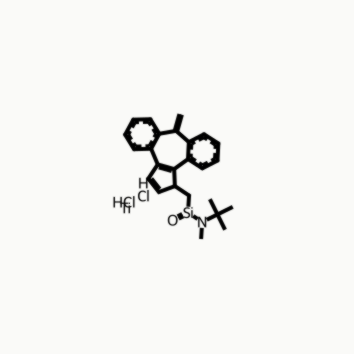 C=C1c2ccccc2C2=C(c3ccccc31)C(C[Si](=O)N(C)C(C)(C)C)C=C2.Cl.Cl.[Ti]